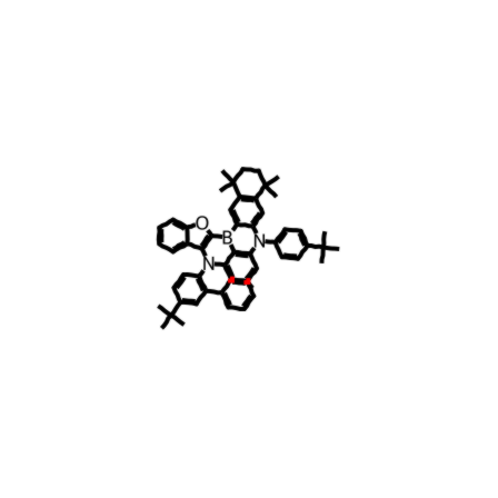 Cc1cc2c3c(c1)N(c1ccc(C(C)(C)C)cc1-c1ccccc1)c1c(oc4ccccc14)B3c1cc3c(cc1N2c1ccc(C(C)(C)C)cc1)C(C)(C)CCC3(C)C